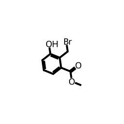 COC(=O)c1cccc(O)c1CBr